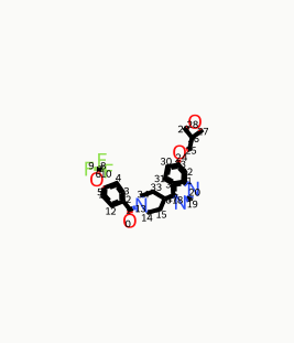 O=C(c1ccc(OC(F)(F)F)cc1)N1CCC(c2ncnc3cc(OCC4COC4)ccc23)CC1